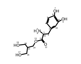 N[C@@H](Cc1ccc(O)c(O)c1)C(=O)OCC(CO)CO